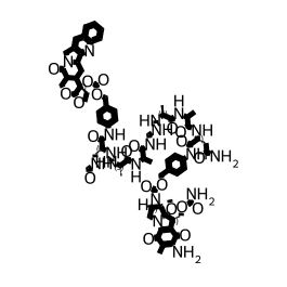 CC[C@@]1(OC(=O)OCc2ccc(NC(=O)[C@@H](CNC=O)NN[C@@H](C)C(=O)NC(C)C(=O)NCNN[C@@H](C)C(=O)NC(C)C(=O)N[C@H](CC(N)=O)C(=O)Nc3ccc(COC(=O)N4C5[C@@H]4CN4C6=C(C(=O)C(N)=C(C)C6=O)[C@@H](COC(N)=O)[C@@]54OC)cc3)cc2)C(=O)OCC2C(=O)N3Cc4cc5ccccc5nc4C3CC21